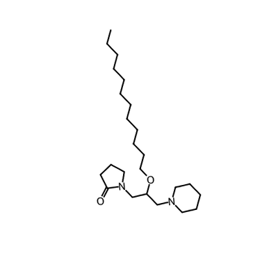 CCCCCCCCCCCCOC(CN1CCCCC1)CN1CCCC1=O